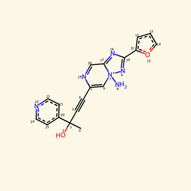 CC(O)(C#CC1=C[N+]2(N)N=C(c3ccco3)N=C2C=N1)c1ccncc1